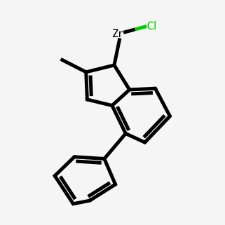 CC1=Cc2c(-c3ccccc3)cccc2[CH]1[Zr][Cl]